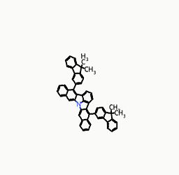 CC1(C)c2ccccc2-c2cc(-c3c4ccccc4cc4c3c3cccc5c6c(-c7ccc8c(c7)-c7ccccc7C8(C)C)c7ccccc7cc6n4c35)ccc21